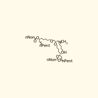 CCCCCCCCCC(=O)OC(CCCCCOCC(CN(C)CCCCO)OCCCCCC(CSCCCCC)OC(=O)CCCCCCCCC)CSCCCCC